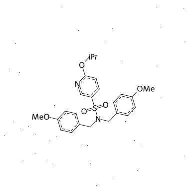 COc1ccc(CN(Cc2ccc(OC)cc2)S(=O)(=O)c2ccc(OC(C)C)nc2)cc1